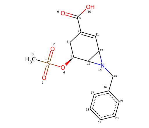 CS(=O)(=O)O[C@H]1CC(C(=O)O)=CC2C1N2Cc1ccccc1